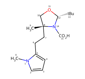 Cn1cccc1CC[C@]1(C)CO[C@H](C(C)(C)C)N1C(=O)O